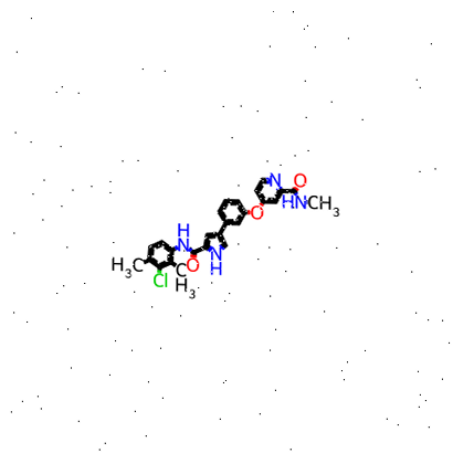 CNC(=O)c1cc(Oc2cccc(-c3c[nH]c(C(=O)Nc4ccc(C)c(Cl)c4C)c3)c2)ccn1